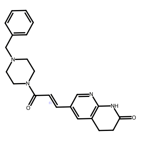 O=C1CCc2cc(/C=C/C(=O)N3CCN(Cc4ccccc4)CC3)cnc2N1